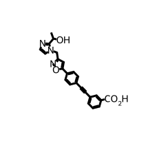 CC(O)c1nccn1Cc1cc(-c2ccc(C#Cc3cccc(C(=O)O)c3)cc2)on1